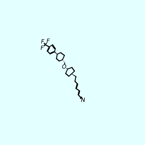 N#CC=CC=CCC[C@H]1CC[C@H](OC[C@H]2CC[C@H](c3ccc(C(F)(F)F)cc3)CC2)CC1